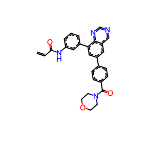 C=CC(=O)Nc1cccc(-c2cc(-c3ccc(C(=O)N4CCOCC4)cc3)cc3cncnc23)c1